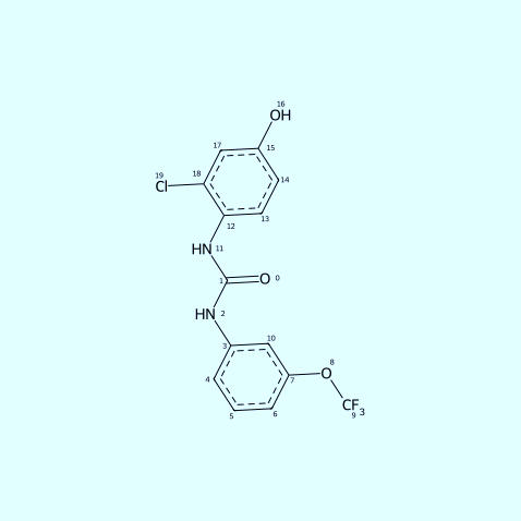 O=C(Nc1cccc(OC(F)(F)F)c1)Nc1ccc(O)cc1Cl